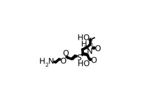 C[C@H](O)[C@@H]1C(=O)N2C(C(=O)O)=C(SC=CC(=O)OCCN)C[C@H]12